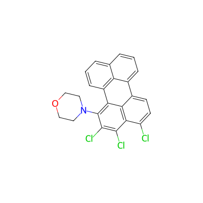 Clc1c(Cl)c2c(Cl)ccc3c4cccc5cccc(c(c1N1CCOCC1)c23)c54